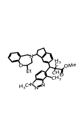 CCC1CN(C2CCc3ccc(C(c4ccc5c(nnn5C)c4C)C(C)(C)C(=O)OC)cc32)Cc2ccccc2O1